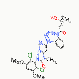 COc1cc(OC)c(Cl)c(NC(=O)N(C)c2cc(Nc3ccccc3NC(=O)C=C[C@H](C)O)ncn2)c1Cl